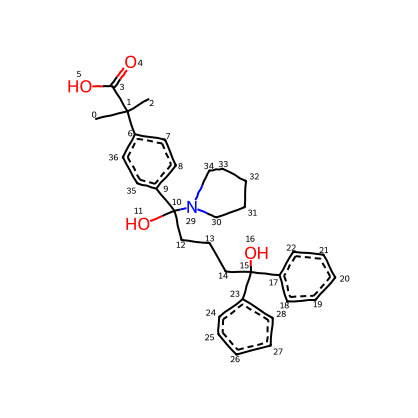 CC(C)(C(=O)O)c1ccc(C(O)(CCCC(O)(c2ccccc2)c2ccccc2)N2CCCCC2)cc1